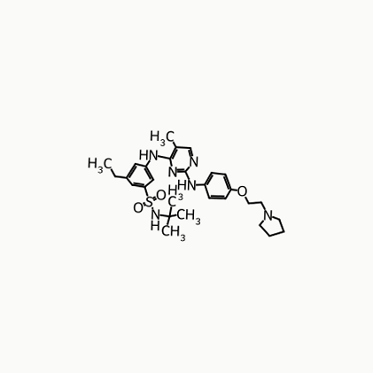 CCc1cc(Nc2nc(Nc3ccc(OCCN4CCCC4)cc3)ncc2C)cc(S(=O)(=O)NC(C)(C)C)c1